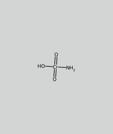 [NH2][Cr](=[O])(=[O])[OH]